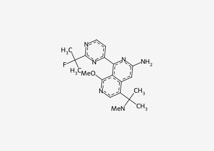 CNC(C)(C)c1cnc(OC)c2c(-c3ccnc(C(C)(C)F)n3)nc(N)cc12